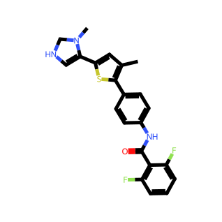 Cc1cc(C2=CNCN2C)sc1-c1ccc(NC(=O)c2c(F)cccc2F)cc1